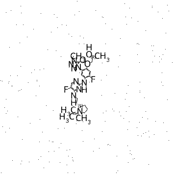 C[C@@H](O)COc1cc(F)c(Nc2ncc(F)c(NCC[C@@H]3CCCN3C(C)(C)C)n2)cc1-n1nnn(C)c1=O